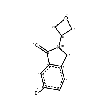 O=C1c2cc(Br)ccc2CN1C1COC1